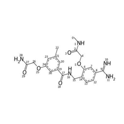 CNC(=O)COc1cc(C(=N)N)ccc1CNC(=O)c1cc(C)cc(OCC(N)=O)c1